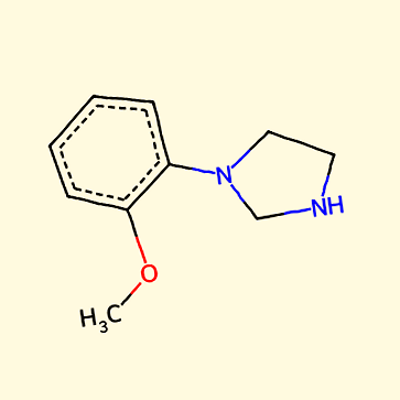 COc1ccccc1N1CCNC1